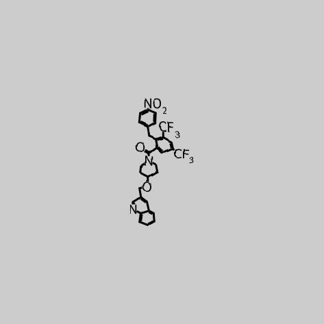 O=C(c1cc(C(F)(F)F)cc(C(F)(F)F)c1Cc1ccc([N+](=O)[O-])cc1)N1CCC(OCc2cnc3ccccc3c2)CC1